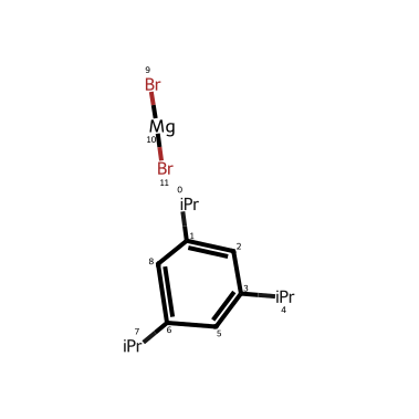 CC(C)c1cc(C(C)C)cc(C(C)C)c1.[Br][Mg][Br]